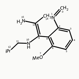 C=Nc1cccc(OC)c1/C(NCC(C)C)=C(\C)N